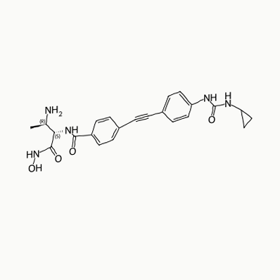 C[C@@H](N)[C@H](NC(=O)c1ccc(C#Cc2ccc(NC(=O)NC3CC3)cc2)cc1)C(=O)NO